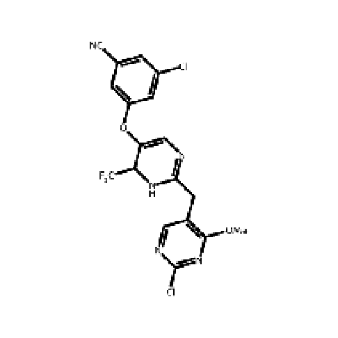 COc1nc(Cl)ncc1CC1=NC=C(Oc2cc(Cl)cc(C#N)c2)C(C(F)(F)F)N1